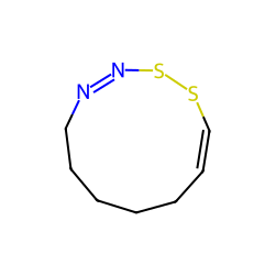 C1=C\SS/N=N\CCCCC/1